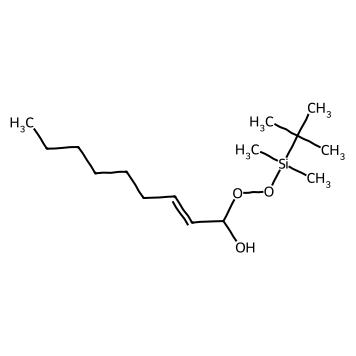 CCCCCC/C=C/C(O)OO[Si](C)(C)C(C)(C)C